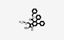 CC(C)(C)c1[nH]c2cc(-c3ccccc3)c(-c3ccccc3)c(C(=O)OCc3ccccc3)c2c1CO[SiH3]